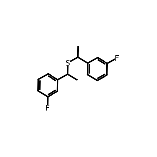 CC(SC(C)c1cccc(F)c1)c1cccc(F)c1